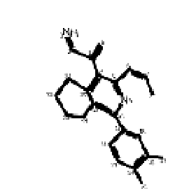 C=C(C=N)c1c(/C=C\C)nc(-c2ccc(C)c(C)c2)c2c1CCCC2